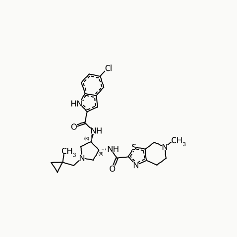 CN1CCc2nc(C(=O)N[C@@H]3CN(CC4(C)CC4)C[C@H]3NC(=O)c3cc4cc(Cl)ccc4[nH]3)sc2C1